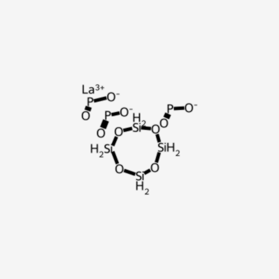 O1[SiH2]O[SiH2]O[SiH2]O[SiH2]1.O=P[O-].O=P[O-].O=P[O-].[La+3]